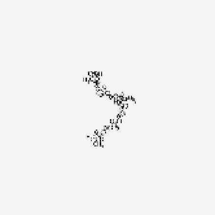 CCCC(C)N1C(=O)c2ccc(Oc3ccc4c(c3)C(=O)N(c3cccc(Oc5cccc(Oc6cccc(C(C)C(C)(CC)N7C(=O)c8ccc(Oc9ccc%10c(c9)C(=O)N(c9cc(S(=O)(=O)c%11ccc(O)c(C(C)(C)CC)c%11)ccc9O)C%10=O)cc8C7=O)c6)c5)c3)C4=O)cc2C1=O